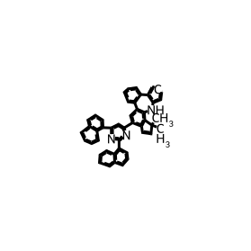 CC1(C)C=Cc2c(-c3cc(-c4cccc5ccccc45)nc(-c4cccc5ccccc45)n3)cc3c(c21)Nc1ccccc1-c1ccccc1-3